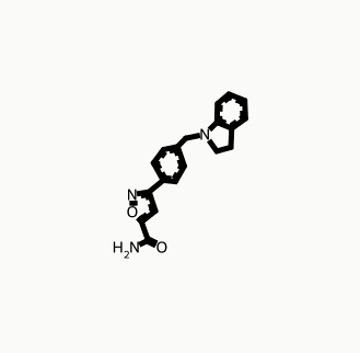 NC(=O)c1cc(-c2ccc(CN3CCc4ccccc43)cc2)no1